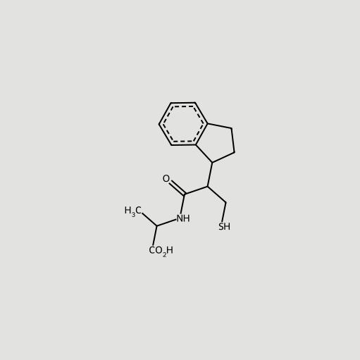 CC(NC(=O)C(CS)C1CCc2ccccc21)C(=O)O